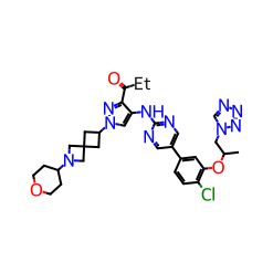 CCC(=O)c1nn(C2CC3(C2)CN(C2CCOCC2)C3)cc1Nc1ncc(-c2ccc(Cl)c(OC(C)Cn3cnnn3)c2)cn1